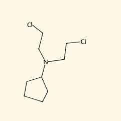 ClCCN(CCCl)C1CCCC1